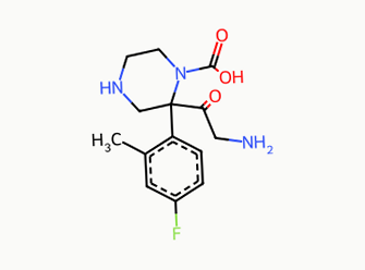 Cc1cc(F)ccc1C1(C(=O)CN)CNCCN1C(=O)O